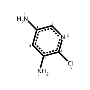 Nc1cnc(Cl)c(N)c1